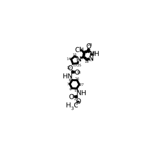 COC(=O)N[C@H]1CC[C@H](NC(=O)O[C@@H]2CCN(c3cn[nH]c(=O)c3Cl)C2)CC1